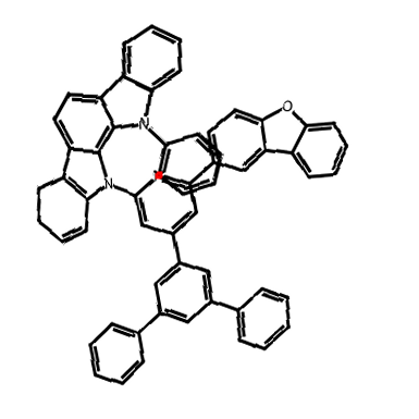 C1=Cc2c(c3ccc4c5ccccc5n(-c5ccccc5)c4c3n2-c2cc(-c3cc(-c4ccccc4)cc(-c4ccccc4)c3)cc(-c3ccc4oc5ccccc5c4c3)n2)CC1